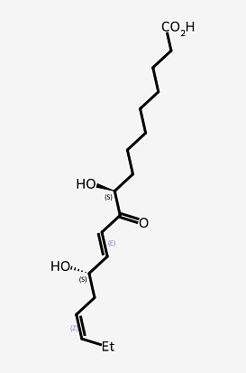 CC/C=C\C[C@H](O)/C=C/C(=O)[C@@H](O)CCCCCCCC(=O)O